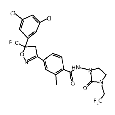 Cc1cc(C2=NOC(c3cc(Cl)cc(Cl)c3)(C(F)(F)F)C2)ccc1C(=O)NN1CCN(CC(F)(F)F)C1=O